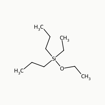 CCC[Si](CC)(CCC)OCC